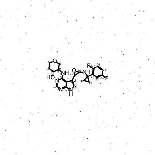 O[C@@H]1CCOC[C@H]1Nc1ncnc2[nH]nc(C3OC3NC3(c4cc(F)ccc4F)CC3)c12